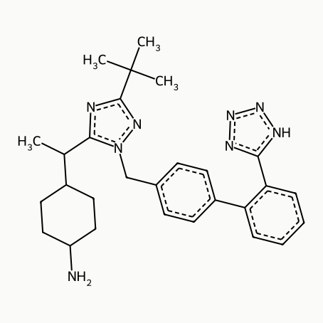 CC(c1nc(C(C)(C)C)nn1Cc1ccc(-c2ccccc2-c2nnn[nH]2)cc1)C1CCC(N)CC1